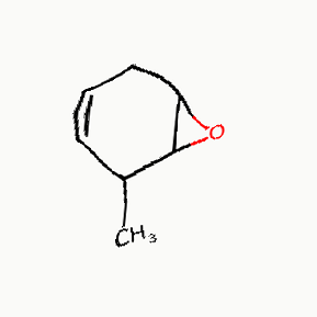 CC1C=CCC2OC12